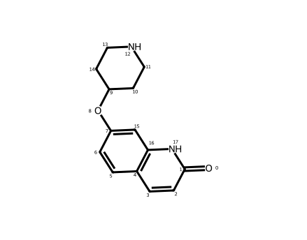 O=c1ccc2ccc(OC3CCNCC3)cc2[nH]1